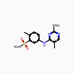 CNc1ncc(C)c(Nc2ccc(C)c(S(=O)(=O)NC)c2)n1